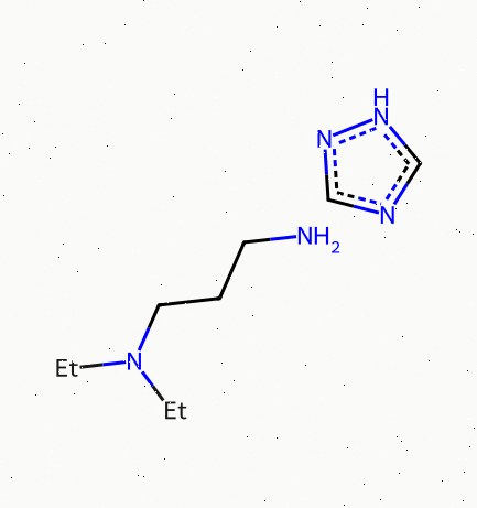 CCN(CC)CCCN.c1nc[nH]n1